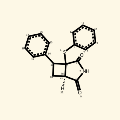 O=C1NC(=O)C2(Sc3ccccc3)C(c3ccccc3)C[C@H]12